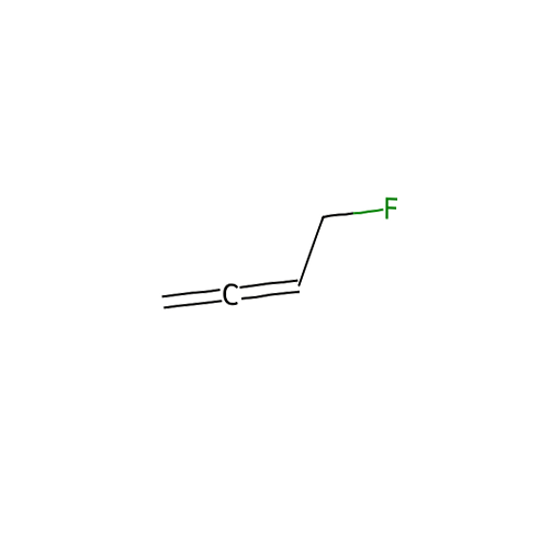 C=C=CCF